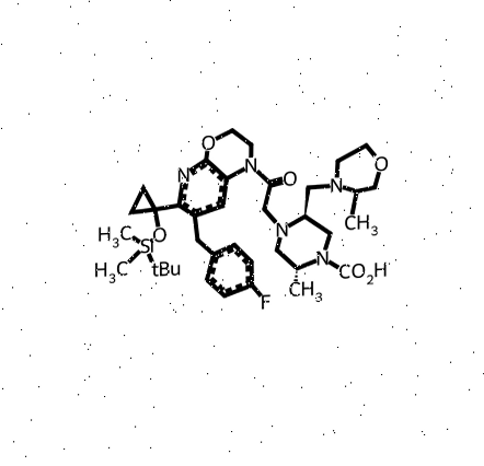 CC1COCCN1C[C@H]1CN(C(=O)O)[C@H](C)CN1CC(=O)N1CCOc2nc(C3(O[Si](C)(C)C(C)(C)C)CC3)c(Cc3ccc(F)cc3)cc21